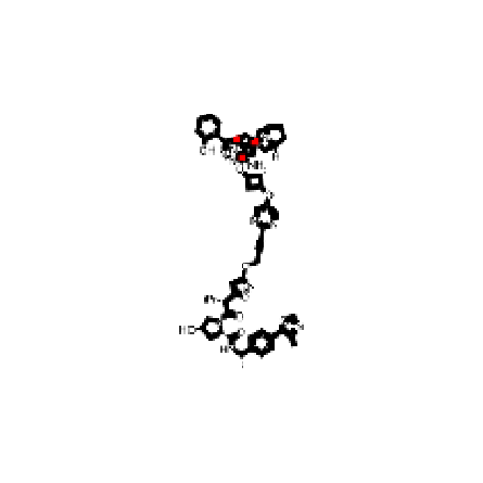 Cc1ncsc1-c1ccc([C@H](C)NC(=O)[C@@H]2C[C@@H](O)CN2C(=O)[C@@H](c2cc(OCC#Cc3ncc(OC4CC(Oc5cc(N6C7CC[C@@H]6CN(c6cc(-c8ccccc8O)nnc6N)C7)ccn5)C4)cn3)no2)C(C)C)cc1